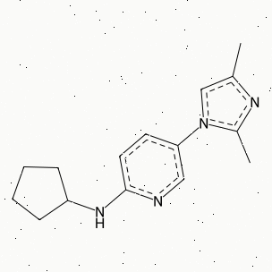 Cc1cn(-c2ccc(NC3CCCC3)nc2)c(C)n1